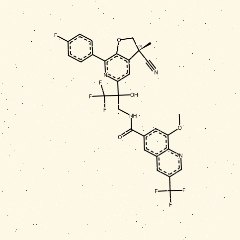 COc1cc(C(=O)NCC(O)(c2cc3c(c(-c4ccc(F)cc4)n2)OC[C@]3(C)C#N)C(F)(F)F)cc2cc(C(F)(F)F)cnc12